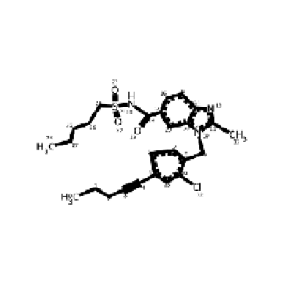 CCCC#Cc1ccc(Cn2c(C)nc3ccc(C(=O)NS(=O)(=O)CCCCC)cc32)c(Cl)c1